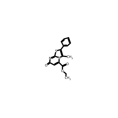 CCOC(=O)c1cc(=O)nc2sc(-c3ccccc3)c(C)n12